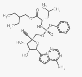 CCC(CC)COC(=O)[C@H](CC(C)C)NP(=O)(OC[C@@]1(C#N)O[C@@H](c2ccc3c(N)ncnn23)[C@H](O)[C@@H]1O)Oc1ccccc1